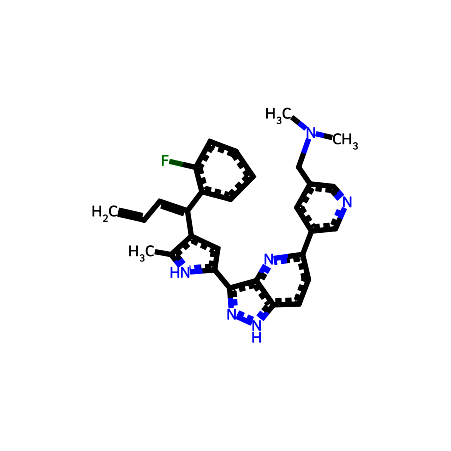 C=C/C=C(/c1ccccc1F)c1cc(-c2n[nH]c3ccc(-c4cncc(CN(C)C)c4)nc23)[nH]c1C